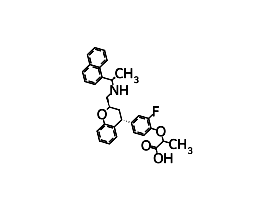 CC(Oc1ccc([C@H]2C[C@H](CN[C@H](C)c3cccc4ccccc34)Oc3ccccc32)cc1F)C(=O)O